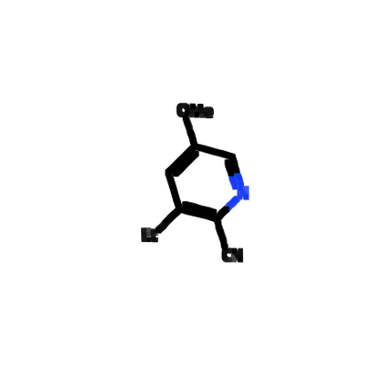 CCc1cc(OC)cnc1C#N